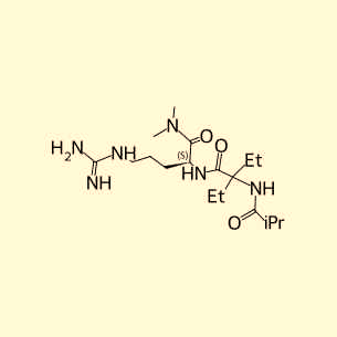 CCC(CC)(NC(=O)C(C)C)C(=O)N[C@@H](CCCNC(=N)N)C(=O)N(C)C